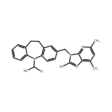 CCc1nc2c(C)cc(C)nc2n1Cc1ccc2c(c1)CCc1ccccc1N2C(C#N)CC